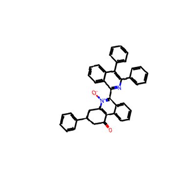 O=C1CC(c2ccccc2)Cc2c1c1ccccc1c(-c1nc(-c3ccccc3)c(-c3ccccc3)c3ccccc13)[n+]2[O-]